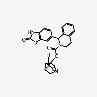 O=C(O[C@@H]1CN2CCC1CC2)N1CCc2ccccc2C1c1ccc2[nH]c(=O)oc2c1